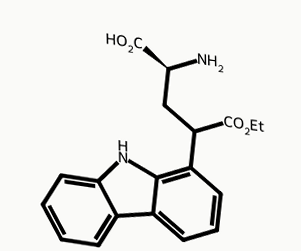 CCOC(=O)C(C[C@H](N)C(=O)O)c1cccc2c1[nH]c1ccccc12